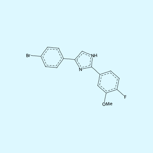 COc1cc(-c2nc(-c3ccc(Br)cc3)c[nH]2)ccc1F